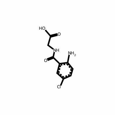 Nc1ccc(Cl)cc1C(=O)NCC(=O)O